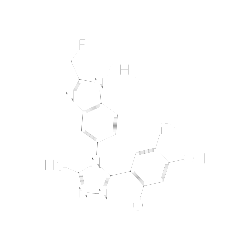 CC(C)c1cc(-c2nnc(S)n2-c2ccc3c(c2)nc(CF)n3C)c(O)cc1O